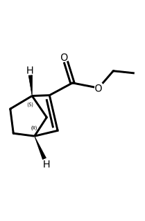 CCOC(=O)C1=C[C@@H]2CC[C@H]1C2